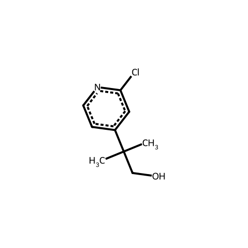 CC(C)(CO)c1ccnc(Cl)c1